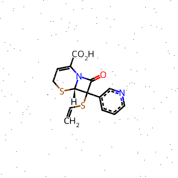 C=CSC1(c2cccnc2)C(=O)N2C(C(=O)O)=CCS[C@H]21